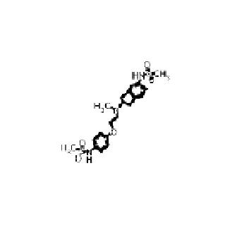 CN(CCOc1ccc(NS(C)(=O)=O)cc1)C1Cc2ccc(NS(C)(=O)=O)cc2C1